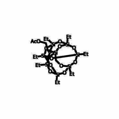 CC[Si]12OC[Si]3(CCOC(C)=O)O[Si]4(CC)O[Si](CC)(O1)O[Si]1(CC)O[Si](CC)(O2)O[Si](CC)(O3)O[Si](CC)(O4)O1